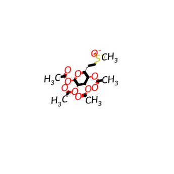 CC(=O)O[C@H]1O[C@H](CC[S+](C)[O-])[C@@H](OC(C)=O)[C@H](OC(C)=O)[C@@H]1OC(C)=O